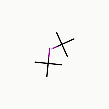 CC(C)(C)[I+]C(C)(C)C